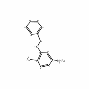 CC(=O)Nc1ccc(C(C)=O)c(OCc2ccccc2)c1